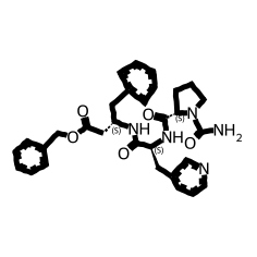 NC(=O)N1CCC[C@H]1C(=O)N[C@@H](Cc1cccnc1)C(=O)N[C@H](CC(=O)OCc1ccccc1)Cc1ccccc1